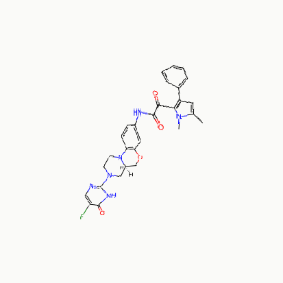 Cc1cc(-c2ccccc2)c(C(=O)C(=O)Nc2ccc3c(c2)OC[C@H]2CN(c4ncc(F)c(=O)[nH]4)CCN32)n1C